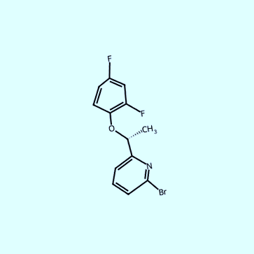 C[C@@H](Oc1ccc(F)cc1F)c1cccc(Br)n1